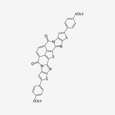 CCCCCCCCc1ccc(-c2cc3c(nc4c5sc6c7c(ccc(c(=O)n34)c57)c(=O)n3c4cc(-c5ccc(CCCCCCCC)cc5)sc4nc63)s2)cc1